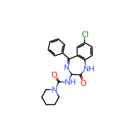 O=C1Nc2ccc(Cl)cc2C(c2ccccc2)=NC1NC(=O)N1CCCCC1